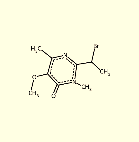 COc1c(C)nc(C(C)Br)n(C)c1=O